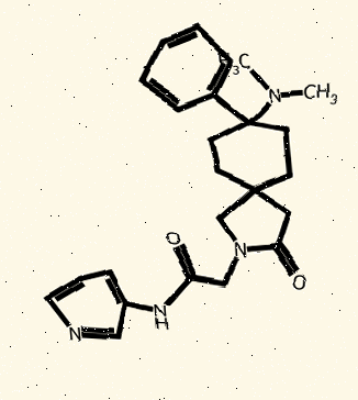 CN(C)C1(c2ccccc2)CCC2(CC1)CC(=O)N(CC(=O)Nc1cccnc1)C2